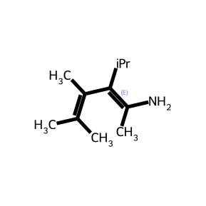 CC(C)=C(C)/C(=C(\C)N)C(C)C